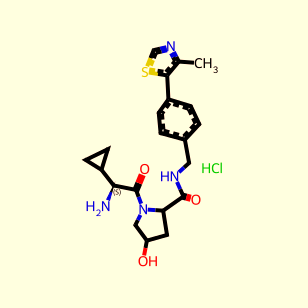 Cc1ncsc1-c1ccc(CNC(=O)C2CC(O)CN2C(=O)[C@@H](N)C2CC2)cc1.Cl